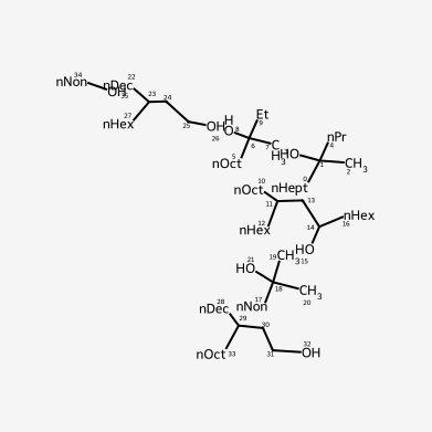 CCCCCCCC(C)(O)CCC.CCCCCCCCC(C)(O)CC.CCCCCCCCC(CCCCCC)CC(O)CCCCCC.CCCCCCCCCC(C)(C)O.CCCCCCCCCCC(CCO)CCCCCC.CCCCCCCCCCC(CCO)CCCCCCCC.CCCCCCCCCO